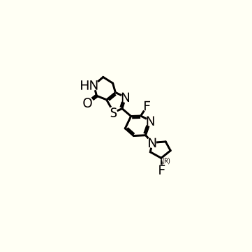 O=C1NCCc2nc(-c3ccc(N4CC[C@@H](F)C4)nc3F)sc21